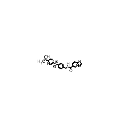 CN(C)c1cnc(S(=O)(=O)c2ccc(CNC(=O)c3ccc4nccn4c3)cc2)cn1